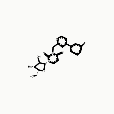 O=c1ccn([C@@H]2O[C@H](CO)[C@H](O)C2O)c(=O)n1Cc1cc(-c2cccc(F)c2)ccn1